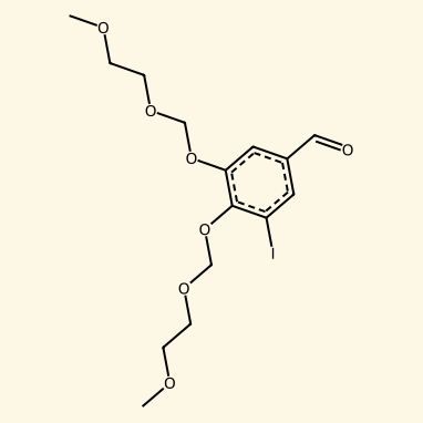 COCCOCOc1cc(C=O)cc(I)c1OCOCCOC